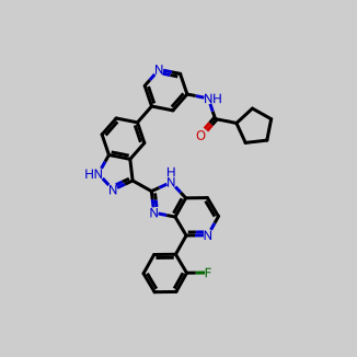 O=C(Nc1cncc(-c2ccc3[nH]nc(-c4nc5c(-c6ccccc6F)nccc5[nH]4)c3c2)c1)C1CCCC1